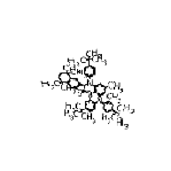 Cc1cc2c3c(c1)N(c1ccc(C(C)(C)C)cc1)c1c(sc4cc5c(cc14)C(C)(C)CCC5(C)C)B3c1cc(C(C)(C)C)ccc1N2c1ccc(C(C)(C)C)cc1C